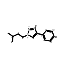 CC(C)CCn1cc(-c2ccccc2)nn1